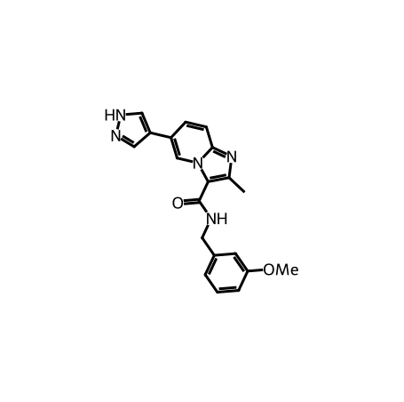 COc1cccc(CNC(=O)c2c(C)nc3ccc(-c4cn[nH]c4)cn23)c1